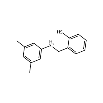 Cc1cc(C)cc([SiH2]Cc2ccccc2S)c1